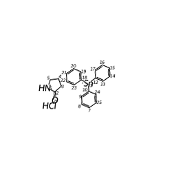 Cl.O=C1CCCN1.c1cc[c]([Sn]([c]2ccccc2)[c]2ccccc2)cc1